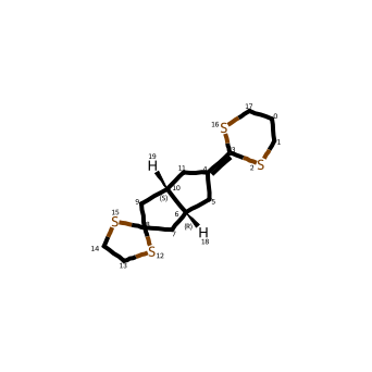 C1CSC(=C2C[C@@H]3CC4(C[C@@H]3C2)SCCS4)SC1